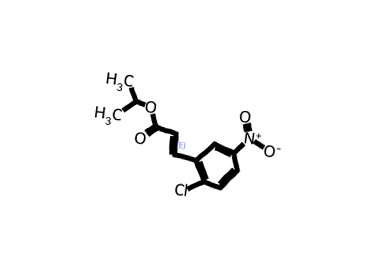 CC(C)OC(=O)/C=C/c1cc([N+](=O)[O-])ccc1Cl